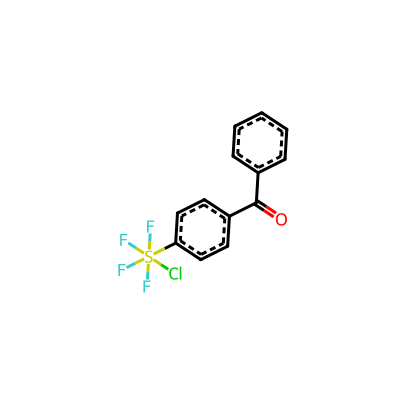 O=C(c1ccccc1)c1ccc(S(F)(F)(F)(F)Cl)cc1